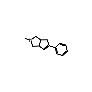 CN1CC2C=C(c3ccccc3)CC2C1